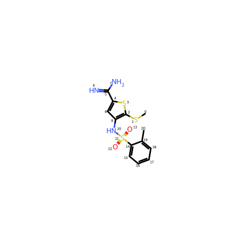 CSc1sc(C(=N)N)cc1NS(=O)(=O)c1ccccc1C